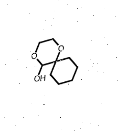 OC1OCCOC12CCCCC2